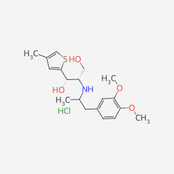 COc1ccc(CC(C)N[C@@H](CO)[C@H](O)c2cc(C)cs2)cc1OC.Cl